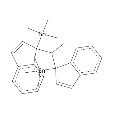 CC([C]1([Sn]([CH3])([CH3])[CH3])C=Cc2ccccc21)[C]1([Sn]([CH3])([CH3])[CH3])C=Cc2ccccc21